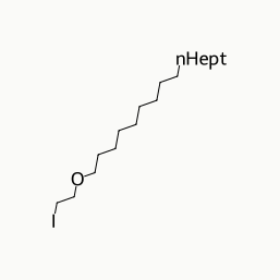 CCCCCCCCCCCCCCCCOCCI